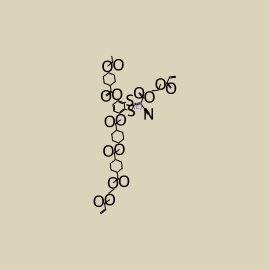 C=CC(=O)OCCOC(=O)/C(C#N)=C1\Sc2c(OC(=O)C3CCC(OC(C)=O)CC3)ccc(OC(=O)C3CCC(OC(=O)C4CCC(C(=O)OCCOC(=O)C=C)CC4)CC3)c2S1